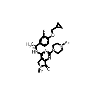 CC(=O)N1CCN(c2nc(N[C@H](C)c3ccc(OCC4CC4)c(F)c3)c3c(n2)C(=O)N(C(C)C)C3)CC1